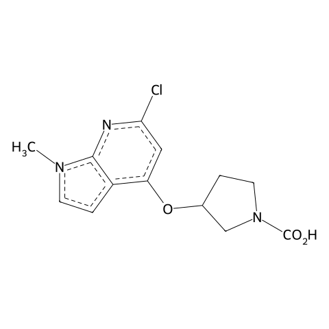 Cn1ccc2c(OC3CCN(C(=O)O)C3)cc(Cl)nc21